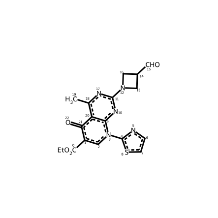 CCOC(=O)c1cn(-c2nccs2)c2nc(N3CC(C=O)C3)nc(C)c2c1=O